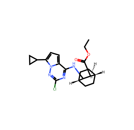 CCOC(=O)[C@@H]1C(Nc2nc(Cl)nn3c(C4CC4)ccc23)[C@H]2CC[C@@H]1CC2